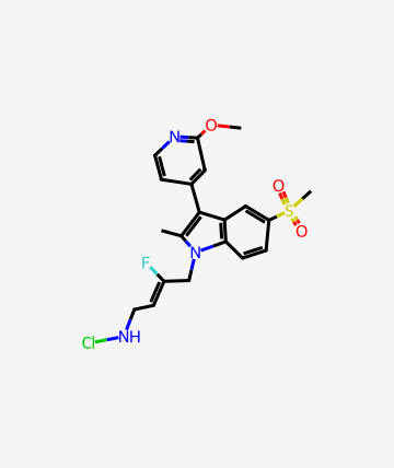 COc1cc(-c2c(C)n(C/C(F)=C/CNCl)c3ccc(S(C)(=O)=O)cc23)ccn1